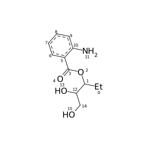 CCC(OC(=O)c1ccccc1N)C(O)CO